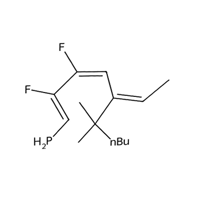 C\C=C(/C=C(F)\C(F)=C\P)C(C)(C)CCCC